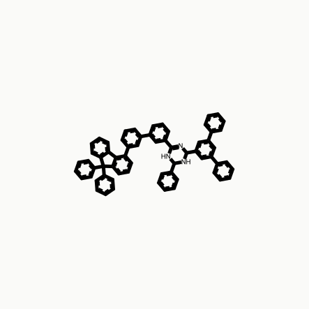 c1ccc(-c2cc(-c3ccccc3)cc(C3N=C(c4cccc(-c5cccc(-c6cccc7c6-c6ccccc6C7(c6ccccc6)c6ccccc6)c5)c4)NC(c4ccccc4)N3)c2)cc1